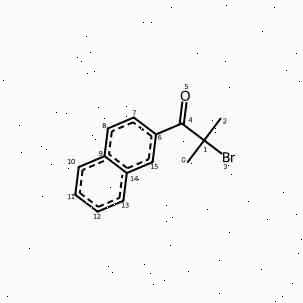 CC(C)(Br)C(=O)c1ccc2ccccc2c1